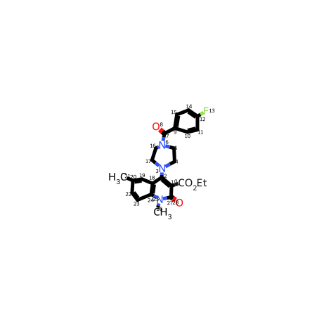 CCOC(=O)c1c(N2CCN(C(=O)c3ccc(F)cc3)CC2)c2cc(C)ccc2n(C)c1=O